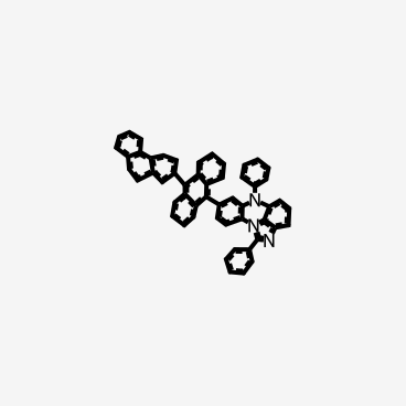 c1ccc(-c2nc3cccc4c3n2-c2ccc(-c3c5ccccc5c(-c5ccc6c(ccc7ccccc76)c5)c5ccccc35)cc2N4c2ccccc2)cc1